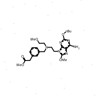 CCCCOc1nc(N)c2nc(OC)n(CCN(CCOC)Cc3cccc(CC(=O)OC)c3)c2n1